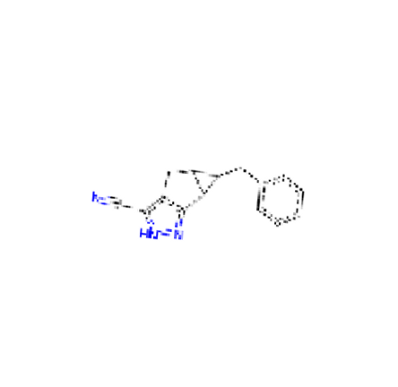 N#Cc1[nH]nc2c1CC1C(Cc3ccccc3)C21